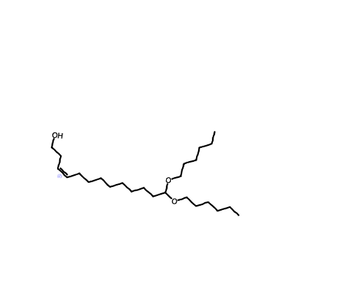 CCCCCCOC(CCCCCCCC/C=C\CCO)OCCCCCC